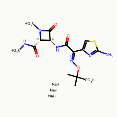 CC(C)(O/N=C(/C(=O)N[C@H]1C(=O)N(S(=O)(=O)O)[C@H]1C(=O)NS(=O)(=O)O)c1csc(N)n1)C(=O)O.[NaH].[NaH].[NaH]